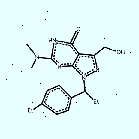 CCc1ccc(C(CC)n2nc(CO)c3c(=O)[nH]c(N(C)C)nc32)cc1